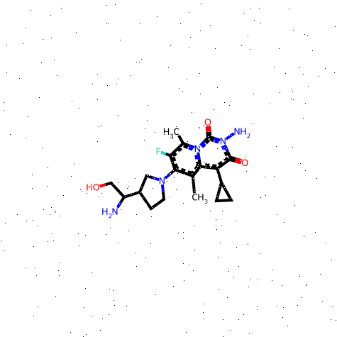 Cc1c(N2CCC(C(N)CO)C2)c(F)c(C)n2c(=O)n(N)c(=O)c(C3CC3)c12